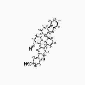 N#Cc1cccc(-c2c(-c3ccc4c(c3)sc3ccc(C#N)cc34)cccc2-c2cccc3c2sc2ccccc23)c1